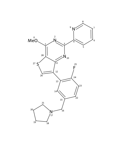 COc1nc(-c2ccccn2)nc2c(-c3cc(CN4CCCC4)ccc3F)csc12